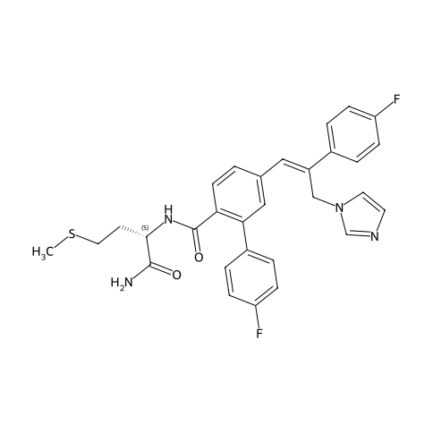 CSCC[C@H](NC(=O)c1ccc(C=C(Cn2ccnc2)c2ccc(F)cc2)cc1-c1ccc(F)cc1)C(N)=O